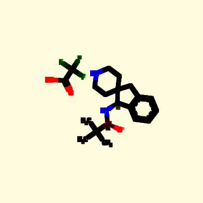 CC(C)(C)[S@+]([O-])N[C@@H]1c2ccccc2CC12CCNCC2.O=C(O)C(F)(F)F